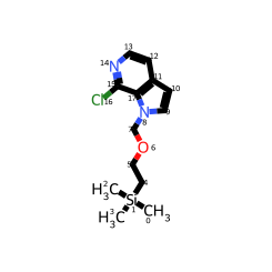 C[Si](C)(C)CCOCn1ccc2ccnc(Cl)c21